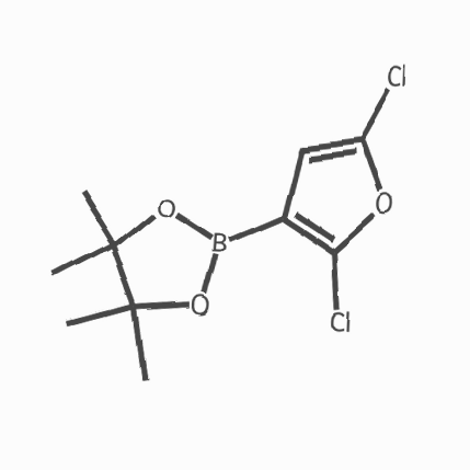 CC1(C)OB(c2cc(Cl)oc2Cl)OC1(C)C